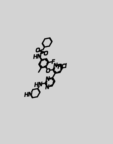 Cc1cc(NS(=O)(=O)C2CCCCC2)cc(F)c1Oc1ncccc1-c1ccnc(N[C@H]2CCCNC2)n1.Cl